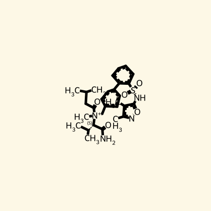 Cc1noc(NS(=O)(=O)c2ccccc2-c2ccc(C[N+](C)(C(=O)CC(C)C)[C@H](C(N)=O)C(C)C)cc2)c1C